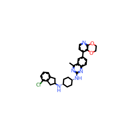 Cc1nc(N[C@H]2CC[C@@H](NC3Cc4cccc(Cl)c4C3)CC2)nc2ccc(-c3ccnc4c3OCCO4)cc12